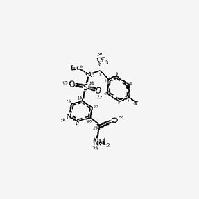 CCN([C@@H](c1ccc(F)cc1)C(F)(F)F)S(=O)(=O)c1cncc(C(N)=O)c1